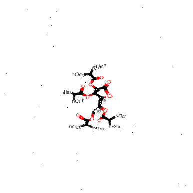 CCCCCCCCC(CCCCCC)C(=O)OC[C@@H](OC(=O)C(CCCCCC)CCCCCCCC)[C@H]1OC(=O)C(OC(=O)C(CCCCCC)CCCCCCCC)=C1OC(=O)C(CCCCCC)CCCCCCCC